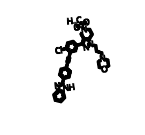 CS(=O)(=O)N1CCc2c(c(-c3ccc(Cl)c(C#Cc4ccc(-c5nc6ccccc6[nH]5)cc4)c3)nn2CCCN2CCOCC2)C1